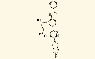 O=C(Nc1ccc(-c2ccc(N3CC4=CNCC4C3)nn2)cc1)c1ccccc1.O=C(O)C=CC(=O)O